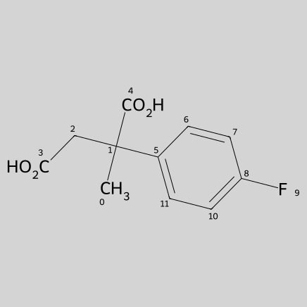 CC(CC(=O)O)(C(=O)O)c1ccc(F)cc1